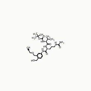 C#CCOCc1cc(NC(=O)[C@H](CCCNC(N)=O)NC(=O)[C@@H](NC(=O)OC(C)(C)C)C(C)C)ccc1CO